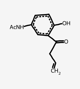 C=CCC(=O)c1cc(NC(C)=O)ccc1O